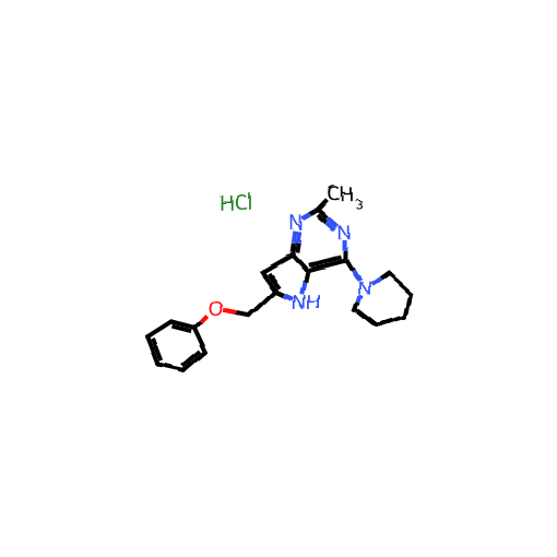 Cc1nc(N2CCCCC2)c2[nH]c(COc3ccccc3)cc2n1.Cl